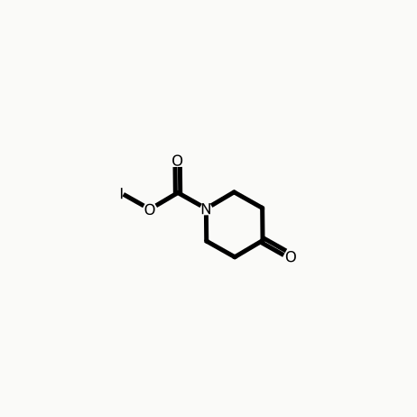 O=C1CCN(C(=O)OI)CC1